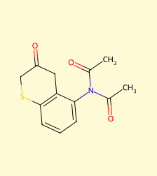 CC(=O)N(C(C)=O)c1cccc2c1CC(=O)CS2